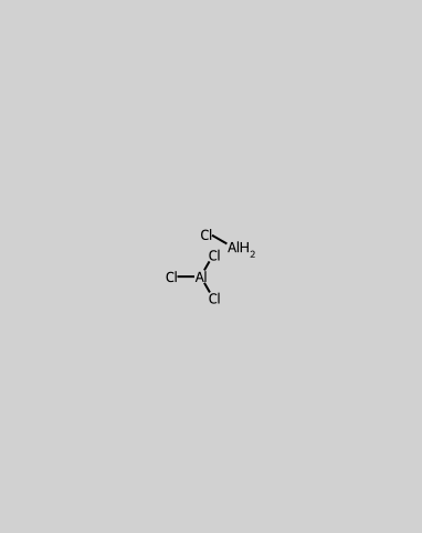 [AlH2][Cl].[Cl][Al]([Cl])[Cl]